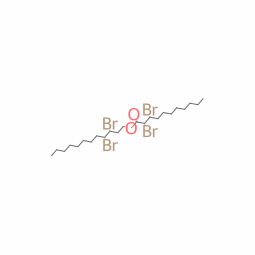 CCCCCCCCC(Br)C(Br)CCOC(=O)C(Br)C(Br)CCCCCCCC